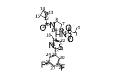 CCS(=O)(=O)N[C@H]1CCN(C(=O)C23CC(C2)C3)[C@H]1Cc1csc(-c2cc(F)cc(F)c2)n1